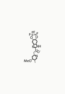 COc1cc(C[S+]([O-])c2nc3cc4c(cc3[nH]2)OC(F)(F)C(F)(F)O4)ncc1C